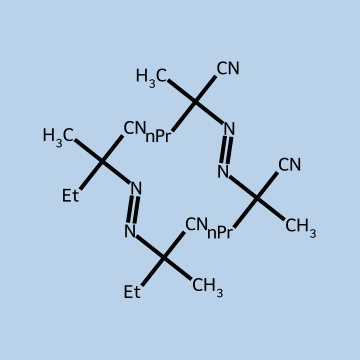 CCC(C)(C#N)N=NC(C)(C#N)CC.CCCC(C)(C#N)N=NC(C)(C#N)CCC